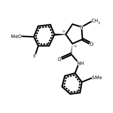 COc1ccc([C@H]2CN(C)C(=O)[C@@H]2C(=O)Nc2ccccc2SC)cc1F